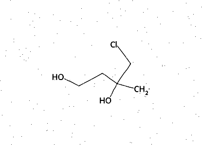 [CH2]C(O)(CCl)CCO